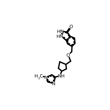 Cn1cnc(NC2CCC(COCc3ccc4c(=O)[nH][nH]c4c3)C2)c1